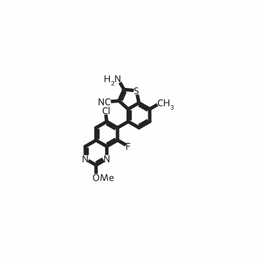 COc1ncc2cc(Cl)c(-c3ccc(C)c4sc(N)c(C#N)c34)c(F)c2n1